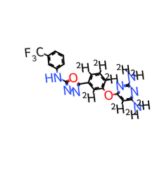 [2H]c1c(Oc2c([2H])c([2H])c([2H])c(-c3nnc(Nc4cccc(C(F)(F)F)c4)o3)c2[2H])nc(N([2H])[2H])nc1N([2H])[2H]